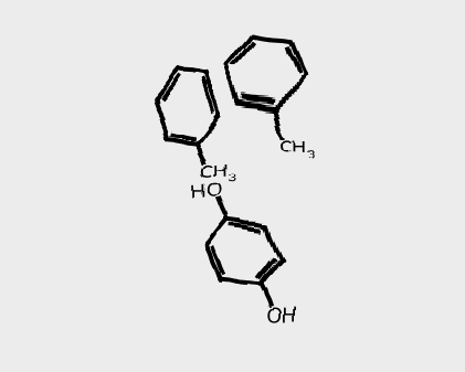 Cc1ccccc1.Cc1ccccc1.Oc1ccc(O)cc1